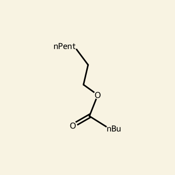 [CH2]CCCCCCOC(=O)CCCC